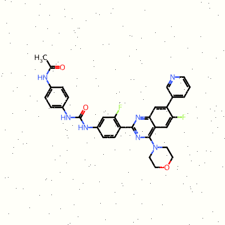 CC(=O)Nc1ccc(NC(=O)Nc2ccc(-c3nc(N4CCOCC4)c4cc(F)c(-c5cccnc5)cc4n3)c(F)c2)cc1